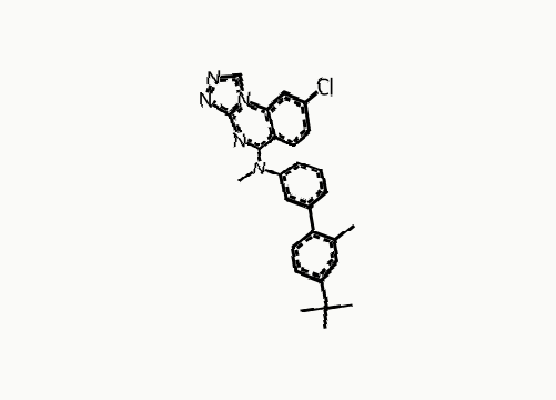 Cc1cc(C(C)(C)C)ccc1-c1cccc(N(C)c2nc3nncn3c3cc(Cl)ccc23)c1